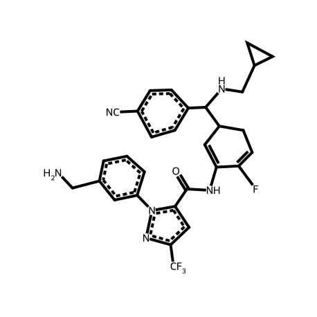 N#Cc1ccc(C(NCC2CC2)C2C=C(NC(=O)c3cc(C(F)(F)F)nn3-c3cccc(CN)c3)C(F)=CC2)cc1